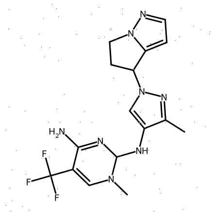 Cc1nn(C2CCn3nccc32)cc1NC1N=C(N)C(C(F)(F)F)=CN1C